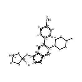 CC1CCN(c2nc3cnn(CC4(F)CCNC4)c3cc2-c2ccc(C#N)cc2)CC1